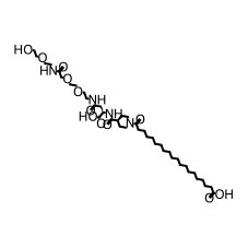 O=C(O)CCCCCCCCCCCCCCCCCCC(=O)N1CCC(C(=O)N[C@H](CC(=O)NCCOCCOCC(=O)NCCOCCO)C(=O)O)CC1